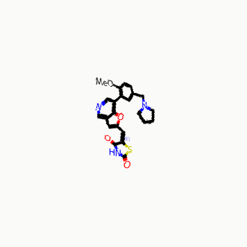 COc1ccc(CN2CCCC2)cc1-c1cncc2cc(/C=C3/SC(=O)NC3=O)oc12